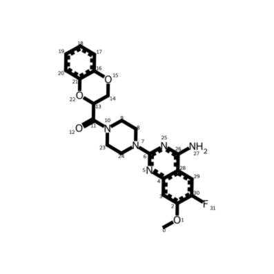 COc1cc2nc(N3CCN(C(=O)C4COc5ccccc5O4)CC3)nc(N)c2cc1F